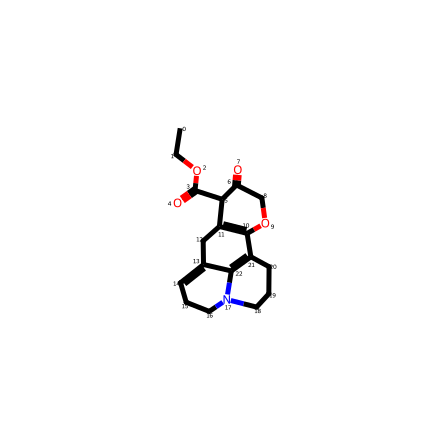 CCOC(=O)C1C(=O)COC2=C1CC1=CCCN3CCCC2=C13